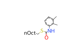 CCCCCCCCCSC(=O)Nc1cccc(C)c1C